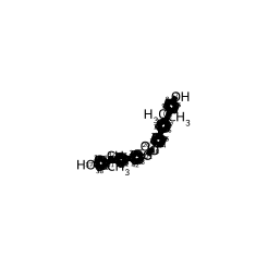 CC(C)(c1ccc(O)cc1)c1ccc(-c2ccc(OC(=O)Oc3ccc(-c4ccc(C(C)(C)c5ccc(O)cc5)cc4)cc3)cc2)cc1